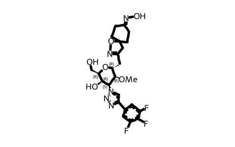 CO[C@@H]1[C@@H](n2cc(-c3cc(F)c(F)c(F)c3)nn2)[C@@H](O)[C@@H](CO)O[C@@H]1CC1=NOC2(CCC(=NO)CC2)C1